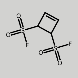 O=S(=O)(F)C1C=CC1S(=O)(=O)F